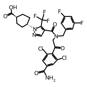 NC(=O)c1cc(Cl)c(C(=O)CN(Cc2cc(F)cc(F)c2)C(=O)c2cnn([C@H]3CC[C@H](C(=O)O)CC3)c2C(F)(F)F)c(Cl)c1